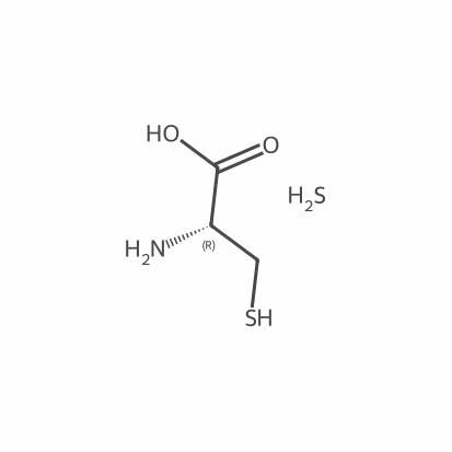 N[C@@H](CS)C(=O)O.S